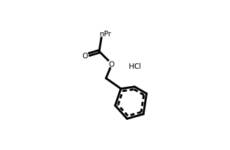 CCCC(=O)OCc1ccccc1.Cl